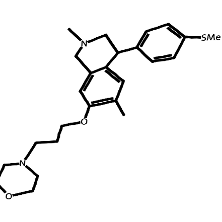 CSc1ccc(C2CN(C)Cc3cc(OCCCN4CCOCC4)c(C)cc32)cc1